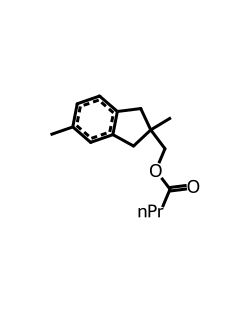 CCCC(=O)OCC1(C)Cc2ccc(C)cc2C1